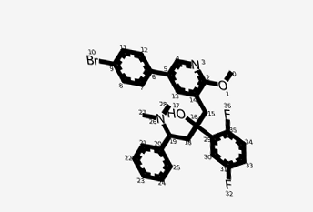 COc1ncc(-c2ccc(Br)cc2)cc1CC(O)(CC(c1ccccc1)N(C)C)c1cc(F)ccc1F